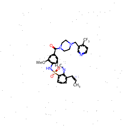 C=Nc1c(/C=C\C)cccc1S(=O)(=O)Nc1ccc(C(=O)N2CCN(Cc3cnccc3C(F)(F)F)CC2)cc1OC